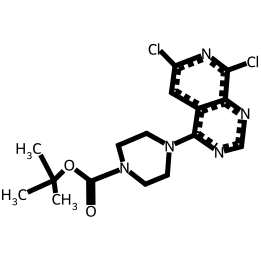 CC(C)(C)OC(=O)N1CCN(c2ncnc3c(Cl)nc(Cl)cc23)CC1